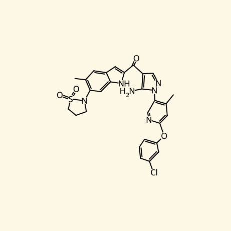 Cc1cc2cc(C(=O)c3cnn(-c4cnc(Oc5cccc(Cl)c5)cc4C)c3N)[nH]c2cc1N1CCCS1(=O)=O